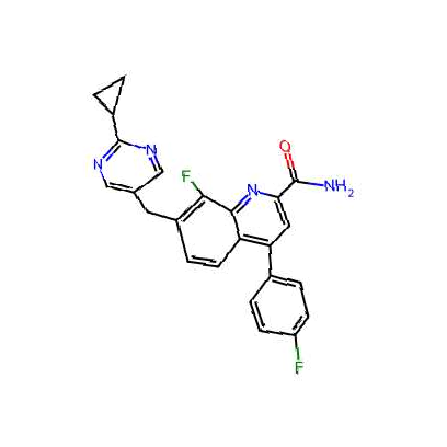 NC(=O)c1cc(-c2ccc(F)cc2)c2ccc(Cc3cnc(C4CC4)nc3)c(F)c2n1